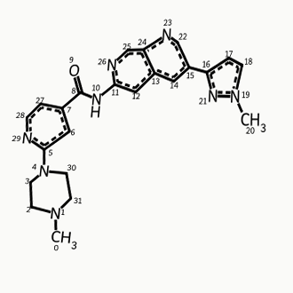 CN1CCN(c2cc(C(=O)Nc3cc4cc(-c5ccn(C)n5)cnc4cn3)ccn2)CC1